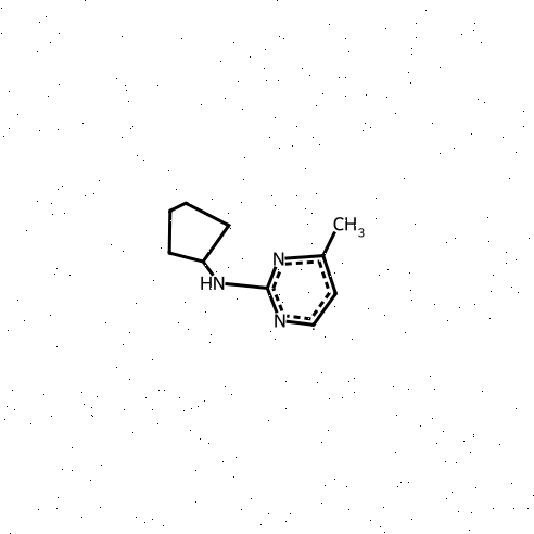 Cc1c[c]nc(NC2CCCC2)n1